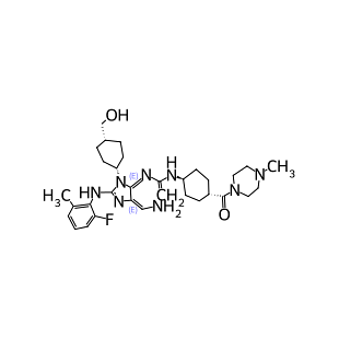 C=C(/N=C1\C(=C/N)N=C(Nc2c(C)cccc2F)N1[C@H]1CC[C@@H](CO)CC1)N[C@H]1CC[C@H](C(=O)N2CCN(C)CC2)CC1